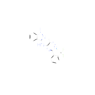 Cc1nnc(-c2ccccc2C(F)(F)F)nc1Nc1n[nH]c2ccccc12